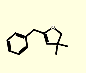 CC1(C)[CH]OC(Cc2ccccc2)=C1